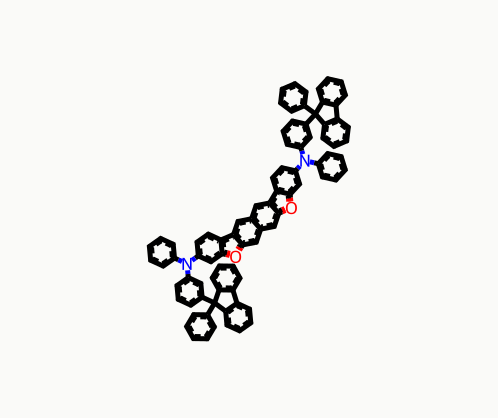 c1ccc(N(c2cccc(C3(c4ccccc4)c4ccccc4-c4ccccc43)c2)c2ccc3c(c2)oc2cc4cc5oc6cc(N(c7ccccc7)c7cccc(C8(c9ccccc9)c9ccccc9-c9ccccc98)c7)ccc6c5cc4cc23)cc1